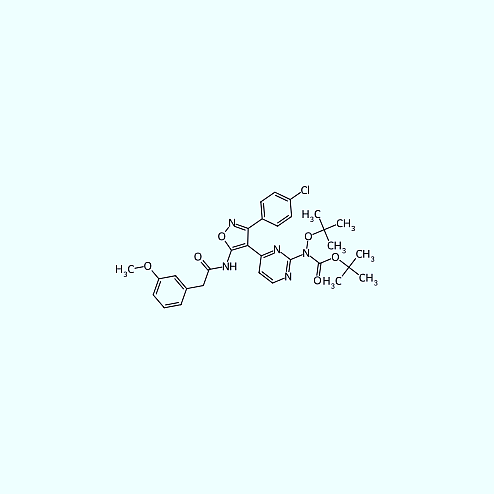 COc1cccc(CC(=O)Nc2onc(-c3ccc(Cl)cc3)c2-c2ccnc(N(OC(C)(C)C)C(=O)OC(C)(C)C)n2)c1